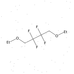 CCOCC(F)(F)C(F)(F)COCC